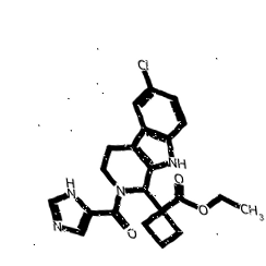 CCOC(=O)C1(C2c3[nH]c4ccc(Cl)cc4c3CCN2C(=O)c2cnc[nH]2)CCC1